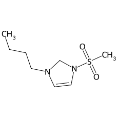 CCCCN1C=CN(S(C)(=O)=O)C1